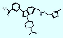 Cc1nc(CSNCc2ccc3c(-c4cccc(C(N)=S)c4)cn(C4CCN([S+](C)[O-])CC4)c3c2)cs1